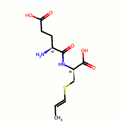 CC=CSC[C@H](NC(=O)[C@@H](N)CCC(=O)O)C(=O)O